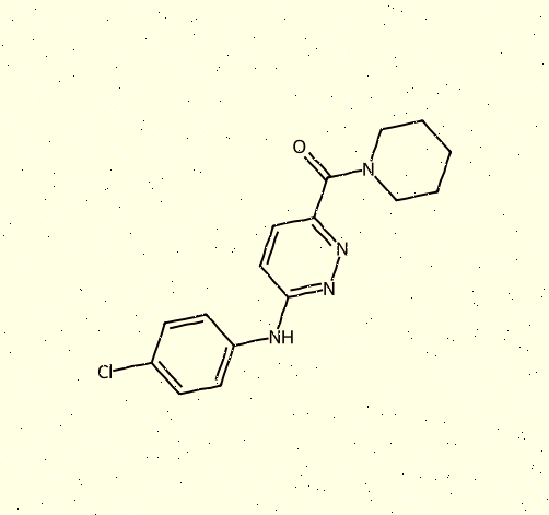 O=C(c1ccc(Nc2ccc(Cl)cc2)nn1)N1CCCCC1